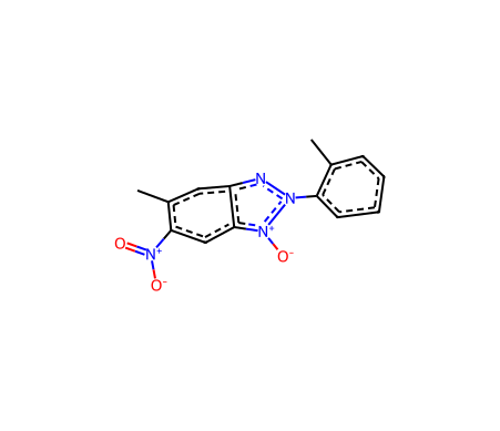 Cc1ccccc1-n1nc2cc(C)c([N+](=O)[O-])cc2[n+]1[O-]